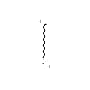 CCNCCCCCCCCCCCC(=O)O